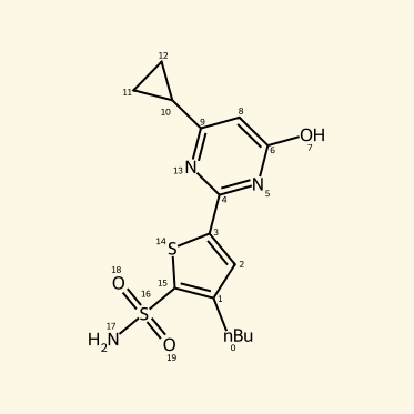 CCCCc1cc(-c2nc(O)cc(C3CC3)n2)sc1S(N)(=O)=O